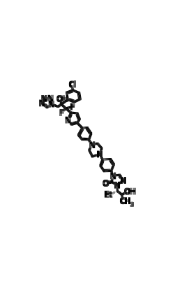 CC[C@@H]([C@H](C)O)n1ncn(-c2ccc(N3CCN(c4ccc(-c5ccc(C(F)(F)C(O)(Cn6cnnn6)c6cccc(Cl)c6)nc5)cc4)CC3)cc2)c1=O